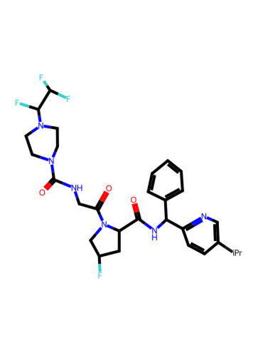 CC(C)c1ccc(C(NC(=O)C2CC(F)CN2C(=O)CNC(=O)N2CCN(C(F)C(F)F)CC2)c2ccccc2)nc1